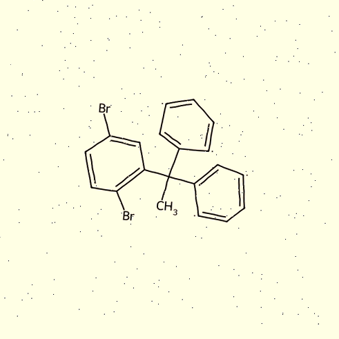 CC(c1[c]cc[c]c1)(c1[c]cc[c]c1)c1cc(Br)ccc1Br